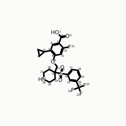 O=C(O)c1cc(C2CC2)c(OCC2(S(=O)(=O)c3cccc(C(F)(F)F)c3)CCNCC2)cc1F